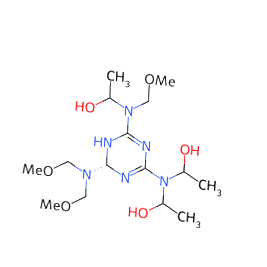 COCN(C1=NC(N(C(C)O)C(C)O)=N[C@H](N(COC)COC)N1)C(C)O